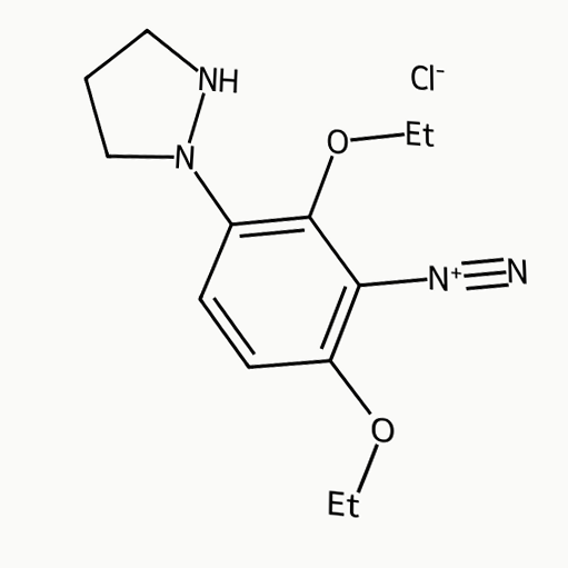 CCOc1ccc(N2CCCN2)c(OCC)c1[N+]#N.[Cl-]